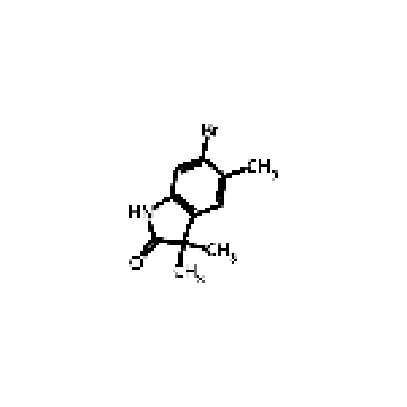 Cc1cc2c(cc1Br)NC(=O)C2(C)C